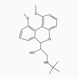 COc1cccc2c1-c1c(OC)cccc1C(C(O)CNC(C)(C)C)O2